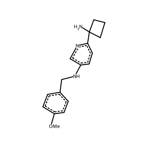 COc1ccc(CNc2ccc(C3(N)CCC3)nc2)cc1